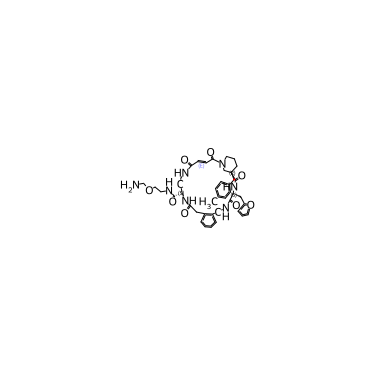 Cc1ccc(C[C@]23CCCN(C2)C(=O)/C=C/C(=O)NCC[C@@H](C(=O)NCCOCN)NC(=O)Cc2ccccc2CNC(=O)[C@H](Cc2ccco2)NC3=O)cc1